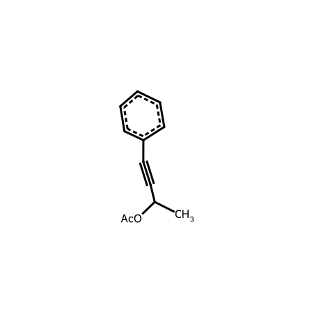 CC(=O)OC(C)C#Cc1ccccc1